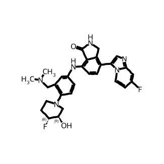 CN(C)Cc1cc(Nc2ccc(-c3cnc4cc(F)ccn34)c3c2C(=O)NC3)ccc1N1CC[C@@H](F)[C@H](O)C1